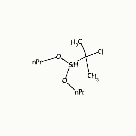 CCCO[SiH](OCCC)C(C)(C)Cl